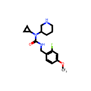 O=C(NCc1ccc(OC(F)(F)F)cc1F)N(C1CC1)C1CCCNC1